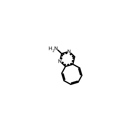 Nc1ncc2c(n1)\C=C/C=C\C=C/2